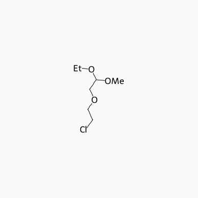 CCOC(COCCCl)OC